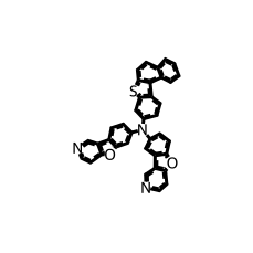 c1ccc2c(c1)ccc1sc3cc(N(c4ccc5c(c4)oc4ccncc45)c4ccc5oc6ccncc6c5c4)ccc3c12